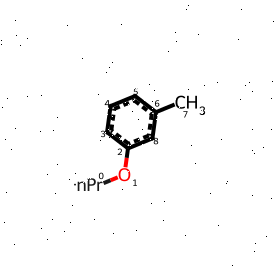 CC[CH]Oc1cccc(C)c1